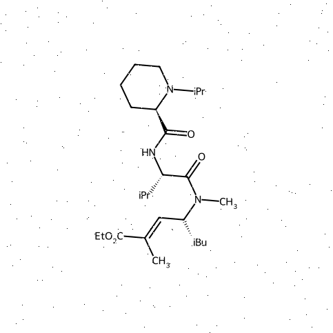 CCOC(=O)/C(C)=C/C([C@@H](C)CC)N(C)C(=O)[C@@H](NC(=O)[C@H]1CCCCN1C(C)C)C(C)C